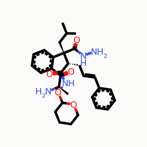 CC(C)C[C@](C(=O)NN)(c1ccccc1C(=O)[C@@H](C)N)[C@H](C/C=C/c1ccccc1)C(=O)NOC1CCCCO1